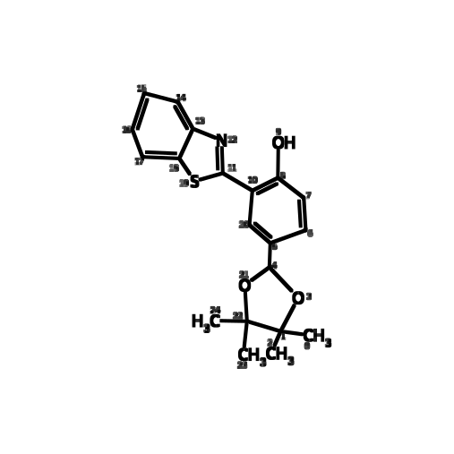 CC1(C)OC(c2ccc(O)c(-c3nc4ccccc4s3)c2)OC1(C)C